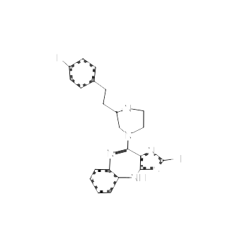 Fc1ccc(CCC2CN(C3=Nc4ccccc4Nc4sc(C(F)(F)F)nc43)CCN2)cc1